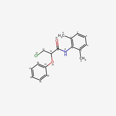 Cc1cccc(C)c1NC(=O)C(CCl)Oc1ccccc1